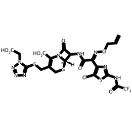 C=CCON=C(C(=O)NC1C(=O)N2C(C(=O)O)=C(CSc3nnnn3CC(=O)O)CS[C@@H]12)c1nc(NC(=O)C(F)(F)F)sc1Cl